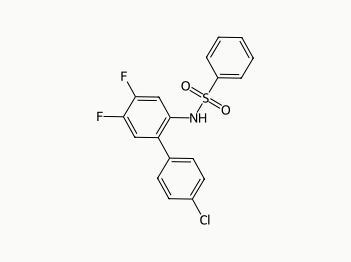 O=S(=O)(Nc1cc(F)c(F)cc1-c1ccc(Cl)cc1)c1ccccc1